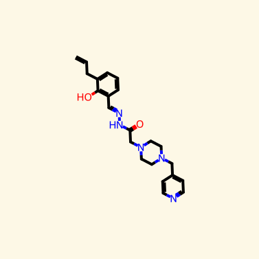 C=CCc1cccc(/C=N/NC(=O)CN2CCN(Cc3ccncc3)CC2)c1O